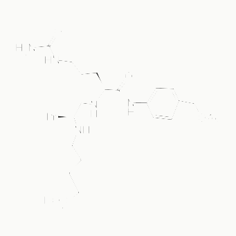 CC(=O)OCc1ccc(NC(=O)[C@H](CCCNC(N)=O)NC[C@@H](NCCCCC(=O)O)C(C)C)cc1